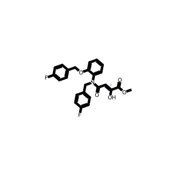 COC(=O)/C(O)=C/C(=O)N(Cc1ccc(F)cc1)c1ccccc1OCc1ccc(F)cc1